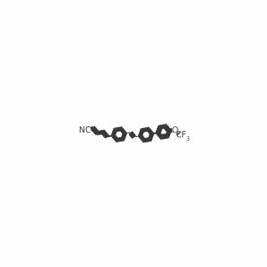 N#CC=CC=C[C@H]1CC[C@H](C=C[C@H]2CC[C@H](c3ccc(OC(F)(F)F)cc3)CC2)CC1